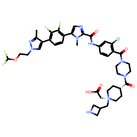 Cc1nn(CCOC(F)F)cc1-c1ccc(-c2cnc(C(=O)Nc3ccc(C(=O)N4CCN(C(=O)[C@H]5CC[N@+](CC(=O)O)(CC6CNC6)CC5)CC4)c(Cl)c3)n2C)c(F)c1F